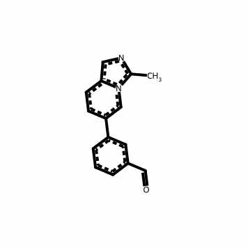 Cc1ncc2ccc(-c3cccc(C=O)c3)cn12